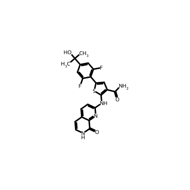 CC(C)(O)c1cc(F)c(-c2cc(C(N)=O)c(Nc3ccc4cc[nH]c(=O)c4n3)s2)c(F)c1